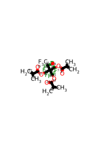 C=C(C)C(=O)OC(F)(F)C(C(F)(F)OC(=O)C(=C)C)(C(F)(F)OC(=O)C(=C)C)C(F)(F)C(F)(F)F